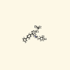 CCN(CC)CCNC(=O)[C@@H]1C/C(=N\OCc2ccc(Cl)c(Cl)c2)CN1C(=O)c1ccc(-c2ccccc2)cc1